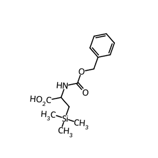 C[Si](C)(C)CC(NC(=O)OCc1ccccc1)C(=O)O